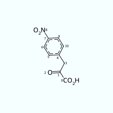 O=C(O)C(=O)Cc1ccc([N+](=O)[O-])cc1